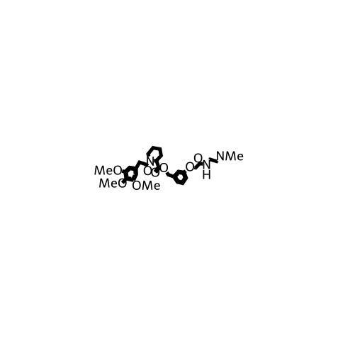 CNCCNC(=O)COc1cccc(COC(=O)C2CCCCN2C(=O)Cc2cc(OC)c(OC)c(OC)c2)c1